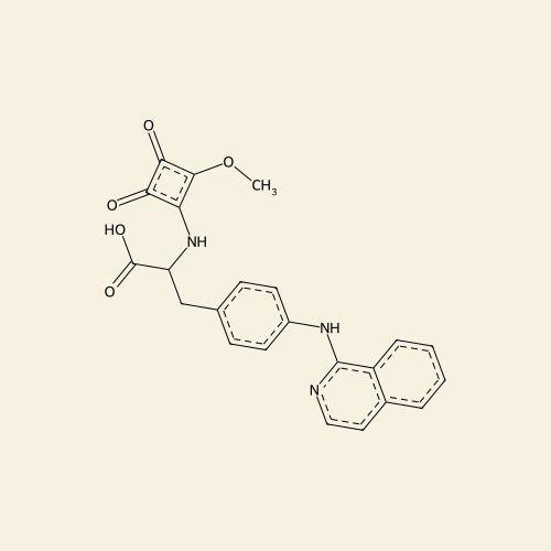 COc1c(NC(Cc2ccc(Nc3nccc4ccccc34)cc2)C(=O)O)c(=O)c1=O